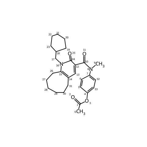 CC(=O)Oc1ccc(N(C)C(=O)c2cc3c(n(CC4CCCCC4)c2=O)CCCCCC3)cc1